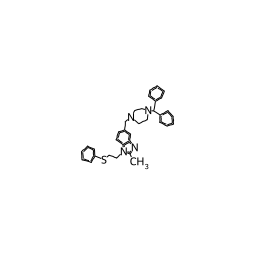 Cc1nc2cc(CN3CCN(C(c4ccccc4)c4ccccc4)CC3)ccc2n1CCSc1ccccc1